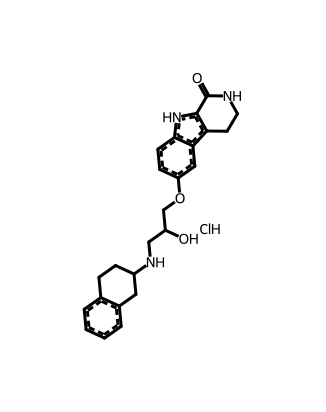 Cl.O=C1NCCc2c1[nH]c1ccc(OCC(O)CNC3CCc4ccccc4C3)cc21